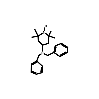 CC1(C)CC(N(Cc2ccccc2)Cc2ccccc2)CC(C)(C)N1O